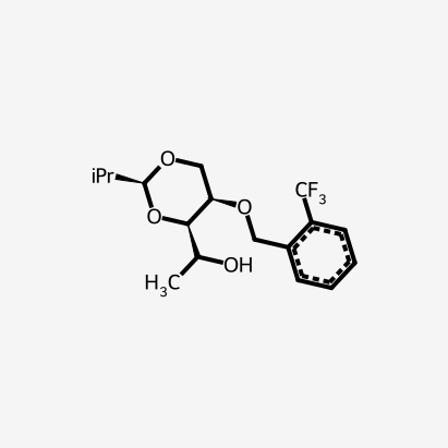 CC(C)[C@H]1OC[C@@H](OCc2ccccc2C(F)(F)F)[C@@H](C(C)O)O1